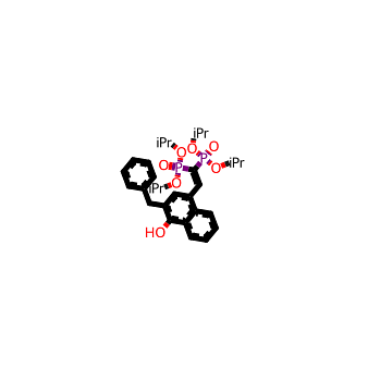 CC(C)OP(=O)(OC(C)C)C(=Cc1cc(Cc2ccccc2)c(O)c2ccccc12)P(=O)(OC(C)C)OC(C)C